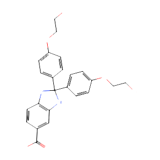 O=C(O)c1ccc2c(c1)NC(c1ccc(OCCO)cc1)(c1ccc(OCCO)cc1)N2